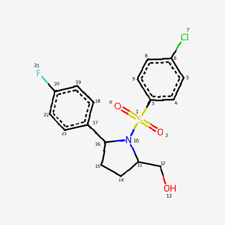 O=S(=O)(c1ccc(Cl)cc1)N1C(CO)CCC1c1ccc(F)cc1